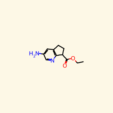 CCOC(=O)C1CCc2cc(N)cnc21